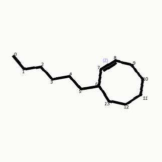 CCCCCCC1/C=C\CCCCC1